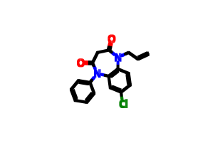 C=CCN1C(=O)CC(=O)N(c2ccccc2)c2cc(Cl)ccc21